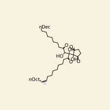 CCCCCCCC/C=C\CCCCCCCC(=O)C(O)(C(O)C(=O)CCCCCCCCCCCCCCCCC)C1(O)C(=O)CCC1=O